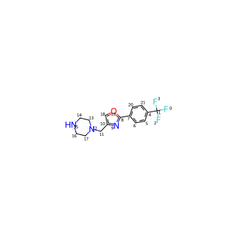 FC(F)(F)c1ccc(-c2nc(CN3CCNCC3)co2)cc1